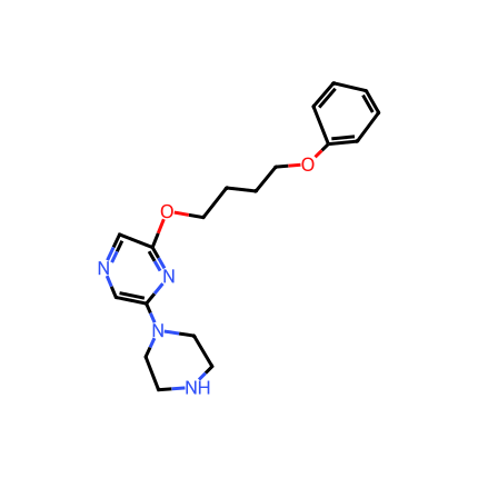 c1ccc(OCCCCOc2cncc(N3CCNCC3)n2)cc1